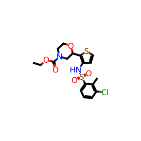 CCOC(=O)N1CCOC(c2sccc2NS(=O)(=O)c2cccc(Cl)c2C)C1